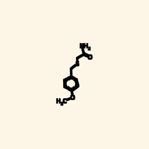 COc1ccc(CSCC(N)=O)cc1